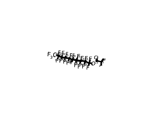 C=C(C)C(=O)OC(F)(F)C(F)(F)C(F)(F)C(F)(F)C(F)(F)C(F)(F)C(F)(F)C(F)(F)C(F)(F)C(F)(F)F